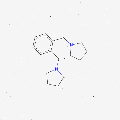 c1ccc(CN2CCCC2)c(CN2CCCC2)c1